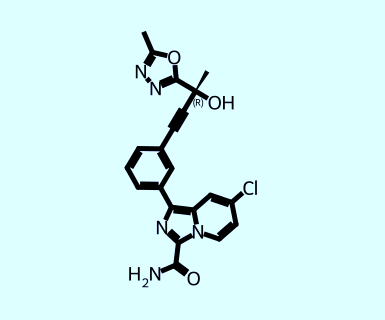 Cc1nnc([C@](C)(O)C#Cc2cccc(-c3nc(C(N)=O)n4ccc(Cl)cc34)c2)o1